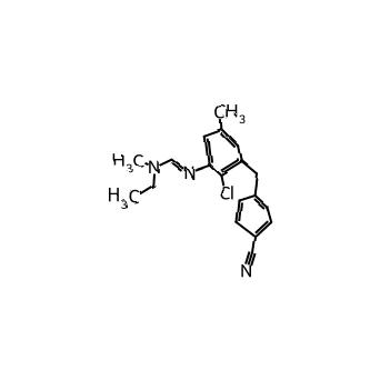 CCN(C)C=Nc1cc(C)cc(Cc2ccc(C#N)cc2)c1Cl